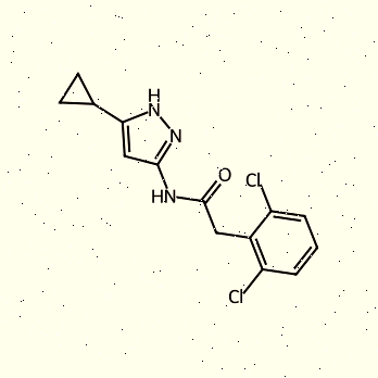 O=C(Cc1c(Cl)cccc1Cl)Nc1cc(C2CC2)[nH]n1